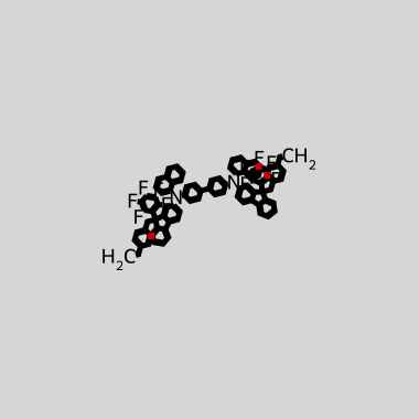 C=Cc1ccc(CC2(c3c(F)c(F)c(F)c(F)c3F)c3ccccc3-c3ccc(N(c4ccc(-c5ccc(N(c6ccc7c(c6)C(Cc6ccc(C=C)cc6)(c6c(F)c(F)c(F)c(F)c6F)c6ccccc6-7)c6cccc7ccccc67)cc5)cc4)c4cccc5ccccc45)cc32)cc1